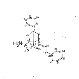 NC(=S)C12CC3CC(c4ccccc4)(CC(C1)C3=CCc1ccccc1)C2